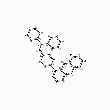 C1=CC(c2cccc3cc4ccccc4cc23)=CCC1=CC(c1ccccc1)c1ccccc1